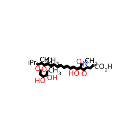 CC(/C=C/C=C/C=C/C=C/C(O)=C1/C(=O)C(CCC(=O)O)N(C)C1=O)=C\C(C)C(O[C@H]1C[C@H](O)[C@H](O)[C@@H](C)O1)C(C)C